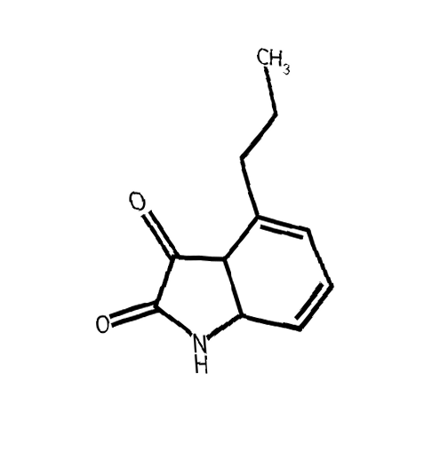 CCCC1=CC=CC2NC(=O)C(=O)C12